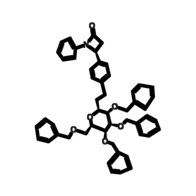 O=C1C[C@@H](c2ccc(CC[C@@H]3O[C@H](COCc4ccccc4)[C@H](OCc4ccccc4)[C@H](OCc4ccccc4)[C@@H]3OCc3ccccc3)cc2)N1c1ccccc1